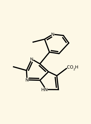 Cc1nc(-c2cccnc2C)c2c(C(=O)O)c[nH]c2n1